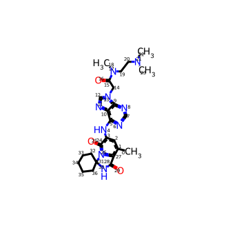 Cc1cc(Nc2ncnc3c2ncn3CC(=O)N(C)CCN(C)C)c(=O)n2c1C(=O)NC21CCCCC1